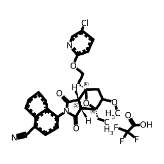 CC[C@]12O[C@](CCOc3ccc(Cl)cn3)(CC1OC)[C@H]1C(=O)N(c3ccc(C#N)c4ccccc34)C(=O)[C@H]12.O=C(O)C(F)(F)F